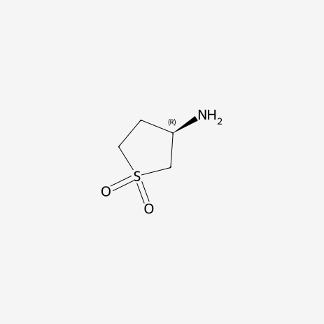 N[C@@H]1CCS(=O)(=O)C1